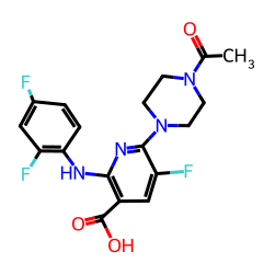 CC(=O)N1CCN(c2nc(Nc3ccc(F)cc3F)c(C(=O)O)cc2F)CC1